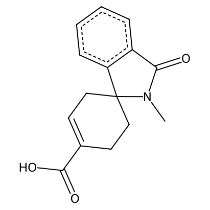 CN1C(=O)c2ccccc2C12CC=C(C(=O)O)CC2